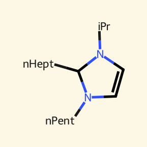 CCCCCCCC1N(CCCCC)C=CN1C(C)C